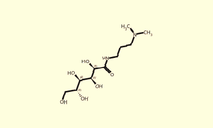 CN(C)CCCNC(=O)[C@H](O)[C@@H](O)[C@H](O)[C@H](O)CO